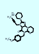 CC#CCN1C(N2CCC[C@@H](N)C2)=NC2C1C(=O)N(Cc1ccc(OC)cc1)C1=NCCCN12